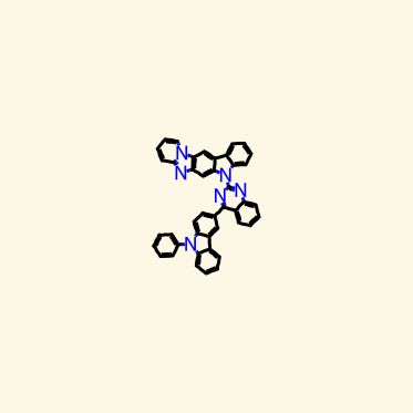 c1ccc(-n2c3ccccc3c3cc(-c4nc(-n5c6ccccc6c6cc7c(cc65)nc5ccccn57)nc5ccccc45)ccc32)cc1